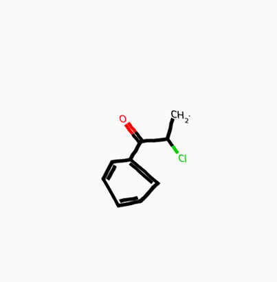 [CH2]C(Cl)C(=O)c1ccccc1